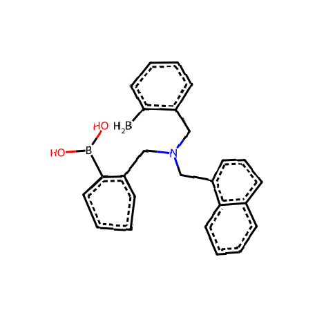 Bc1ccccc1CN(Cc1ccccc1B(O)O)Cc1cccc2ccccc12